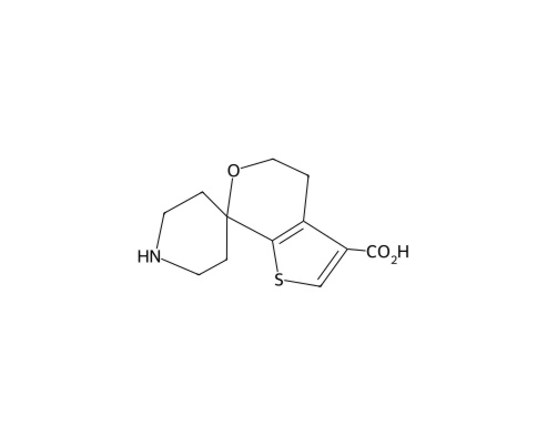 O=C(O)c1csc2c1CCOC21CCNCC1